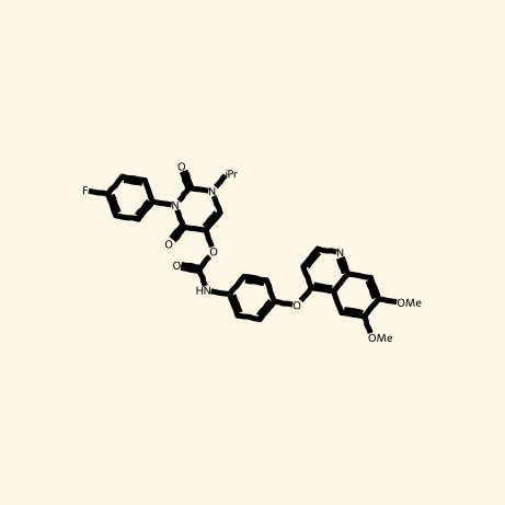 COc1cc2nccc(Oc3ccc(NC(=O)Oc4cn(C(C)C)c(=O)n(-c5ccc(F)cc5)c4=O)cc3)c2cc1OC